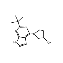 CC(C)(C)c1nc(N2CCC(O)C2)c2cn[nH]c2n1